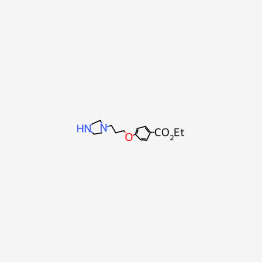 CCOC(=O)c1ccc(OCCCN2CCNCC2)cc1